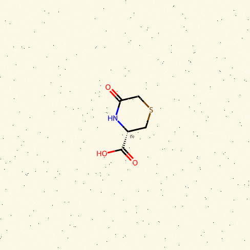 O=C1CSC[C@H](C(=O)O)N1